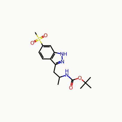 CC(Cc1n[nH]c2cc(S(C)(=O)=O)ccc12)NC(=O)OC(C)(C)C